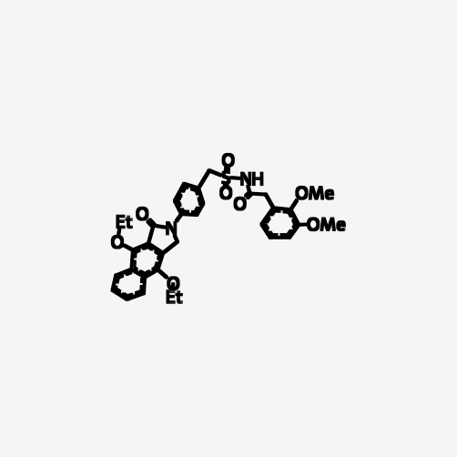 CCOc1c2c(c(OCC)c3ccccc13)C(=O)N(c1ccc(CS(=O)(=O)NC(=O)Cc3cccc(OC)c3OC)cc1)C2